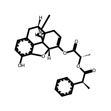 C[C@H](OC(=O)[C@@H](C)c1ccccc1)C(=O)OC1=CC[C@@]2(O)[C@H]3Cc4ccc(O)c5c4[C@@]2(CCN3C)[C@H]1O5